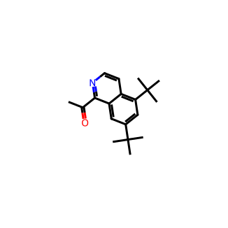 CC(=O)c1nccc2c(C(C)(C)C)cc(C(C)(C)C)cc12